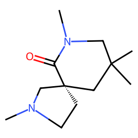 CN1CC[C@@]2(C1)CC(C)(C)CN(C)C2=O